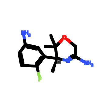 CC1(C)OCC(N)=N[C@]1(C)c1cc(N)ccc1F